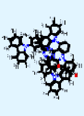 [2H]c1c([2H])c(-c2nc(-c3c(-n4c5c([2H])c([2H])c([2H])c([2H])c5c5c([2H])c([2H])c([2H])c([2H])c54)cccc3-n3c4c([2H])c([2H])c([2H])c([2H])c4c4c([2H])c([2H])c([2H])c([2H])c43)nc(-c3c([2H])c([2H])c([2H])c(-n4c5c([2H])c([2H])c([2H])c([2H])c5c5c([2H])c([2H])c([2H])c([2H])c54)c3[2H])n2)c([2H])c(-n2c3c([2H])c([2H])c([2H])c([2H])c3c3c([2H])c([2H])c([2H])c([2H])c32)c1[2H]